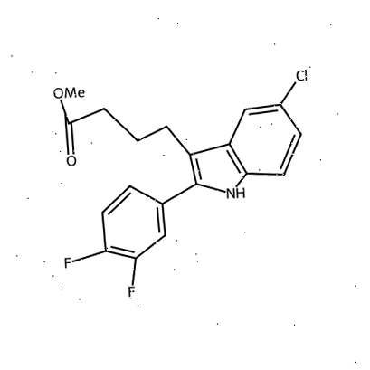 COC(=O)CCCc1c(-c2ccc(F)c(F)c2)[nH]c2ccc(Cl)cc12